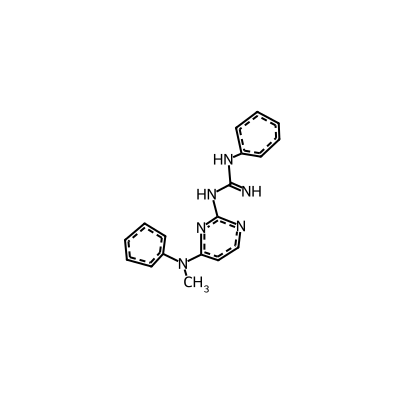 CN(c1ccccc1)c1ccnc(NC(=N)Nc2ccccc2)n1